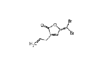 C=CCC1=CC(=C(Br)Br)OC1=O